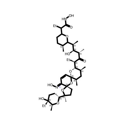 CCC(C(=O)NO)C1CC[C@H](C)C([C@@H](C)[C@H](O)[C@H](C)C(=O)[C@H](CC)[C@H]2O[C@]3(C=C/C(=N\O)[C@]4(CC[C@@](C)([C@H]5CC[C@](O)(CC)[C@H](C)O5)O4)O3)[C@H](C)C[C@@H]2C)O1